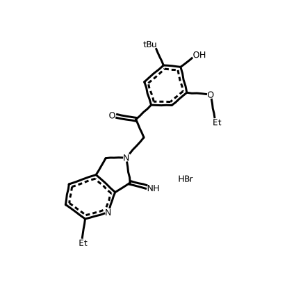 Br.CCOc1cc(C(=O)CN2Cc3ccc(CC)nc3C2=N)cc(C(C)(C)C)c1O